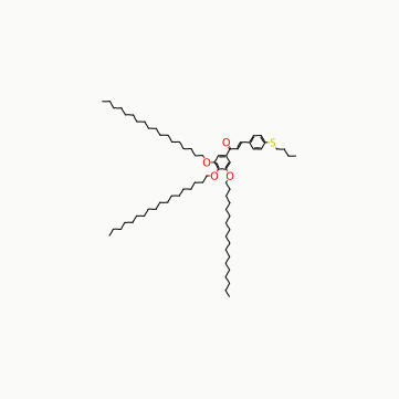 CCCCCCCCCCCCCCCCCCOc1cc(C(=O)C=Cc2ccc(SCCCC)cc2)cc(OCCCCCCCCCCCCCCCCCC)c1OCCCCCCCCCCCCCCCCCC